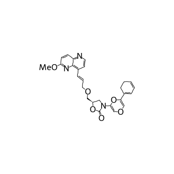 COc1ccc2nccc(/C=C/COC[C@H]3CN(C4=COC=C(C5=CC=CCC5)O4)C(=O)O3)c2n1